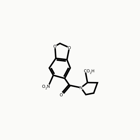 O=C(O)C1CCCN1C(=O)c1cc2c(cc1[N+](=O)[O-])OCO2